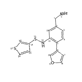 CNCc1ccc(-c2ccoc2)c(NSc2ccsc2)c1